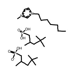 CC(CC(C)(C)C)CP(=O)(O)O.CC(CC(C)(C)C)CP(=O)([O-])O.CCCCCCCn1cc[n+](C)c1